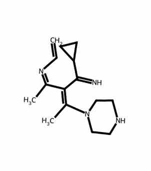 C=C/N=C(C)\C(C(=N)C1CC1)=C(/C)N1CCNCC1